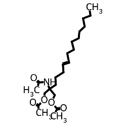 CCCCCCCCCC=CCCCC(COC(C)=O)(COC(C)=O)NC(C)=O